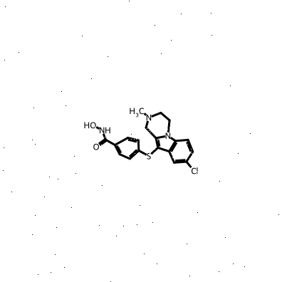 CN1CCn2c(c(Sc3ccc(C(=O)NO)cc3)c3cc(Cl)ccc32)C1